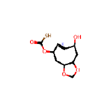 O=C(S)OC1/C=C/C(O)CC2OCOC2C1